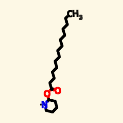 CCCCCCCCCCCCCCC(=O)OC1CCCC[N]1